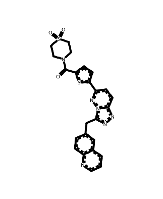 O=C(c1ccc(-c2ccc3nnc(Cc4ccc5ncccc5c4)n3n2)s1)N1CCS(=O)(=O)CC1